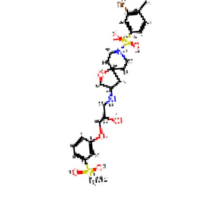 CNS(=O)(=O)c1cccc(OCC(O)CNC2COC3(CCN(S(=O)(=O)c4ccc(C)c(Br)c4)CC3)C2)c1